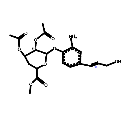 COC(=O)C1CC(OC(C)=O)[C@@H](OC(C)=O)C(Oc2ccc(/C=C/CO)cc2N)O1